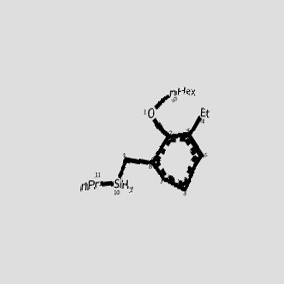 CCCCCCOc1c(CC)cccc1C[SiH2]CCC